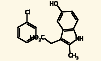 Cc1[nH]c2ccc(O)cc2c1CC(=O)O.Clc1ccccc1